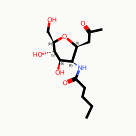 CCCCC(=O)N[C@@H]1[C@@H](O)[C@H](O)[C@@H](CO)O[C@H]1CC(C)=O